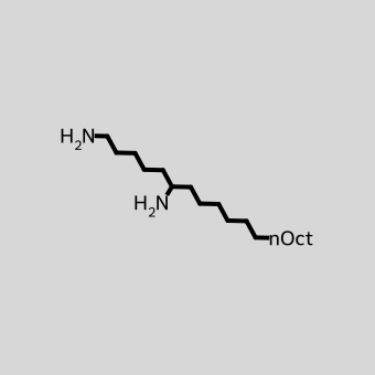 CCCCCCCCCCCCCCC(N)CCCCCN